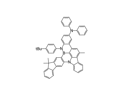 Cc1cc2c3c4c1c1ccccc1n4-c1cc4c(cc1B3N(c1ccc(C(C)(C)C)cc1)c1ccc(N(c3ccccc3)c3ccccc3)cc1-2)C(C)(C)c1ccccc1-4